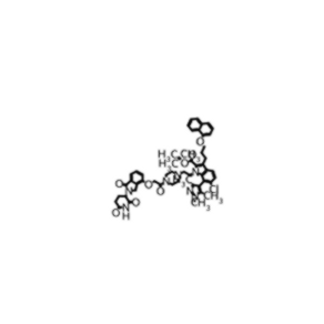 Cc1nn(C)c(C)c1-c1c(Cl)ccc2c(CCCOc3cccc4ccccc34)c(C(=O)OC(C)(C)C)n(CCN3CCN(C(=O)COc4cccc5c4CN(C4CCC(=O)NC4=O)C5=O)CC3)c12